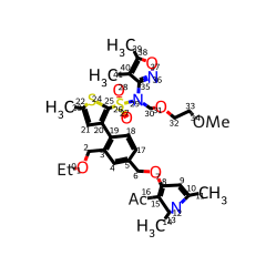 CCOCc1cc(COc2cc(C)nc(C)c2C(C)=O)ccc1-c1cc(C)sc1S(=O)(=O)N(COCCOC)c1noc(C)c1C